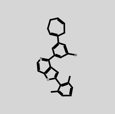 Cc1cccc(C)c1-c1cc2c(-c3cc(Br)cc(C4=CCCC=CC4)c3)nccc2o1